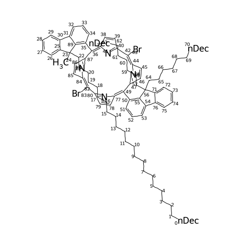 CCCCCCCCCCCCCCCCCCCCCCCCCCCCCCCCC1(C)c2ccccc2-c2cccc(C3=C4C=CC(=N4)C(Br)=C4C=CC(=N4)C(c4cccc5c4C(CCCCCCCCCCCCCCCC)(CCCCCCCCCCCCCCCC)c4ccccc4-5)=C4C=CC(=N4)C(Br)=C4C=CC3=N4)c21